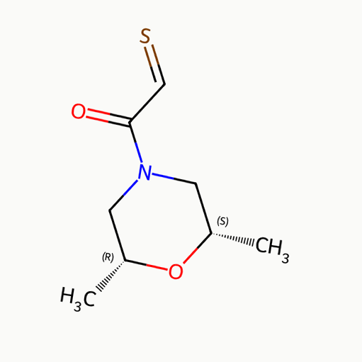 C[C@@H]1CN(C(=O)C=S)C[C@H](C)O1